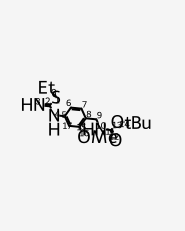 CCSC(=N)Nc1ccc(CNC(=O)OC(C)(C)C)c(OC)c1